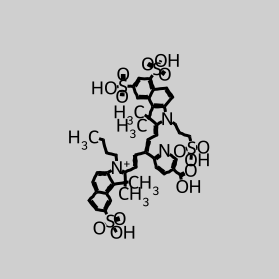 CCCC[N+]1=C(/C=C/C(=C/C=C2/N(CCCS(=O)(=O)O)c3ccc4c(S(=O)(=O)O)cc(S(=O)(=O)O)cc4c3C2(C)C)c2ccc(C(=O)O)cn2)C(C)(C)c2c1ccc1ccc(S(=O)(=O)O)cc21